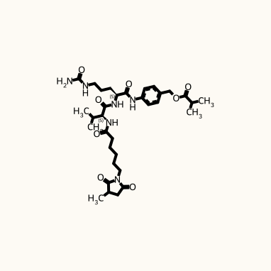 CC(C)C(=O)OCc1ccc(NC(=O)[C@H](CCCNC(N)=O)NC(=O)[C@@H](NC(=O)CCCCCN2C(=O)CC(C)C2=O)C(C)C)cc1